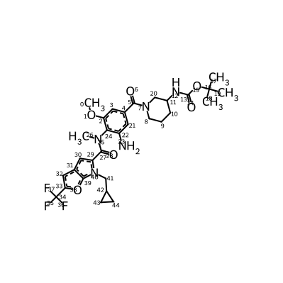 COc1cc(C(=O)N2CCCC(NC(=O)OC(C)(C)C)C2)cc(N)c1N(C)C(=O)c1cc2cc(C(F)(F)F)oc2n1CC1CC1